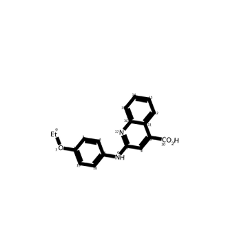 CCOc1ccc(Nc2cc(C(=O)O)c3ccccc3n2)cc1